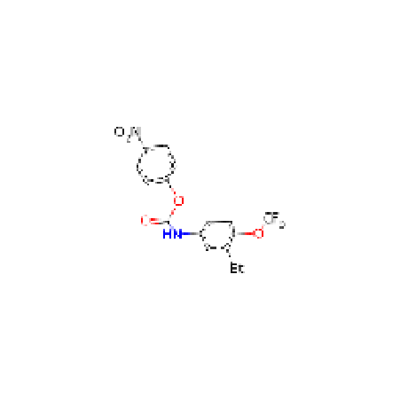 CCc1cc(NC(=O)Oc2ccc([N+](=O)[O-])cc2)ccc1OC(F)(F)F